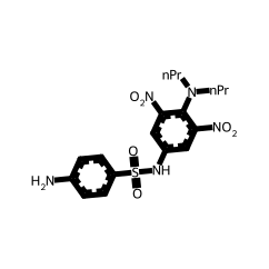 CCCN(CCC)c1c([N+](=O)[O-])cc(NS(=O)(=O)c2ccc(N)cc2)cc1[N+](=O)[O-]